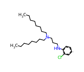 CCCCCCCCN(CCCCCCCC)CCCNc1cc[c]cc1Cl